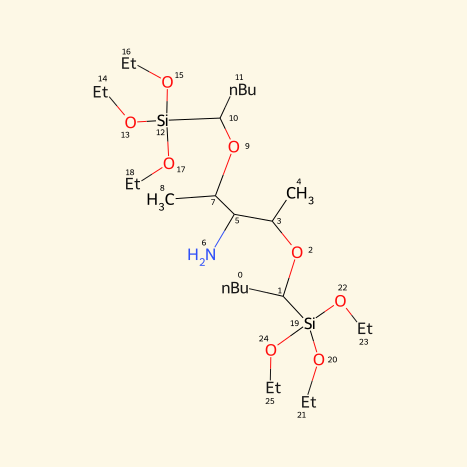 CCCCC(OC(C)C(N)C(C)OC(CCCC)[Si](OCC)(OCC)OCC)[Si](OCC)(OCC)OCC